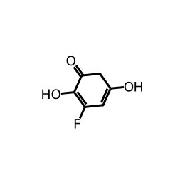 O=C1CC(O)=CC(F)=C1O